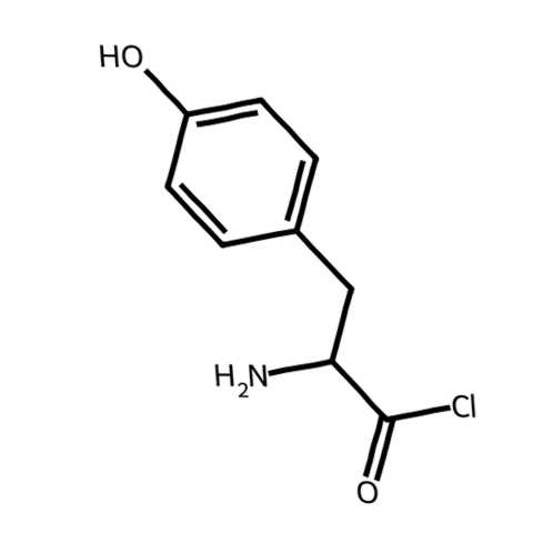 NC(Cc1ccc(O)cc1)C(=O)Cl